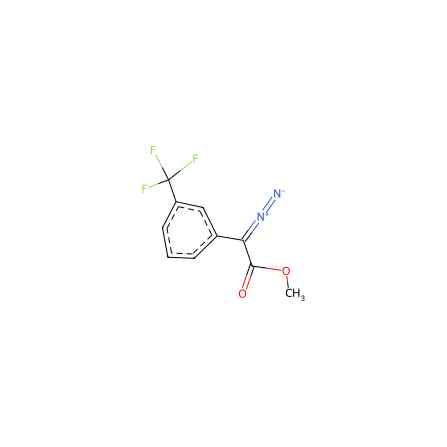 COC(=O)C(=[N+]=[N-])c1cccc(C(F)(F)F)c1